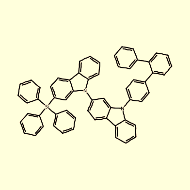 c1ccc(-c2ccccc2-c2ccc(-n3c4ccccc4c4ccc(-n5c6ccccc6c6ccc([Si](c7ccccc7)(c7ccccc7)c7ccccc7)cc65)cc43)cc2)cc1